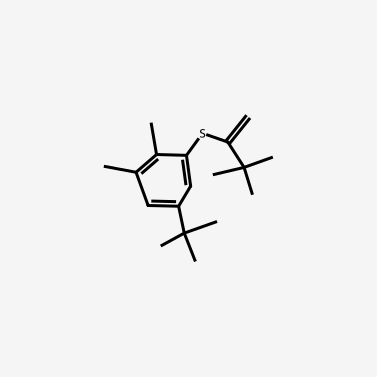 C=C(Sc1cc(C(C)(C)C)cc(C)c1C)C(C)(C)C